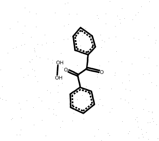 O=C(C(=O)c1ccccc1)c1ccccc1.OO